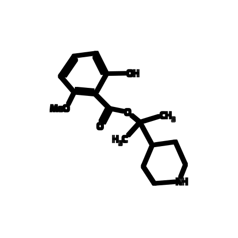 COc1cccc(O)c1C(=O)OC(C)(C)C1CCNCC1